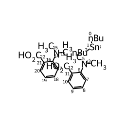 CCC[CH2][Sn][CH2]CCC.CN(C)c1ccccc1C(=O)O.CN(C)c1ccccc1C(=O)O